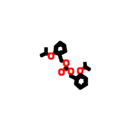 CC(C)Oc1ccccc1COC(=O)OCc1ccccc1OC(C)C